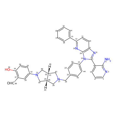 Nc1ncccc1-c1nc2ccc(-c3ccccc3)nc2n1-c1ccc(CN2C[C@@H]3CN(c4ccc(O)c(C=O)c4)C[C@@H]3C2)cc1